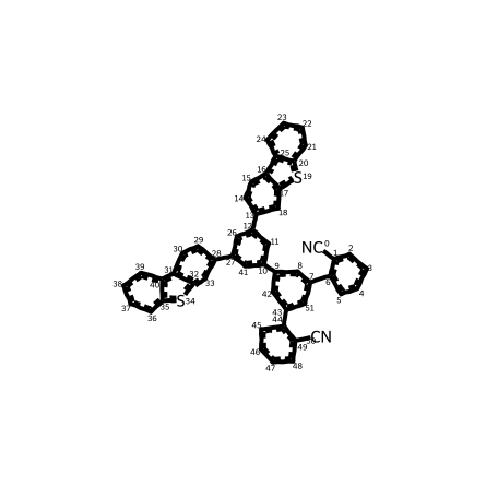 N#Cc1ccccc1-c1cc(-c2cc(-c3ccc4c(c3)sc3ccccc34)cc(-c3ccc4c(c3)sc3ccccc34)c2)cc(-c2ccccc2C#N)c1